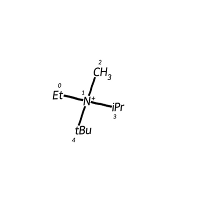 CC[N+](C)(C(C)C)C(C)(C)C